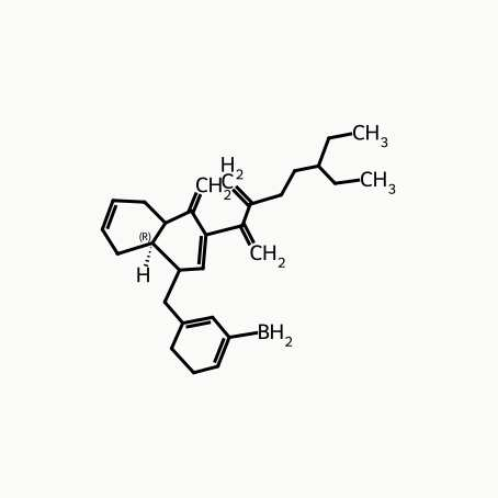 BC1=CCCC(CC2C=C(C(=C)C(=C)CCC(CC)CC)C(=C)C3CC=CC[C@H]23)=C1